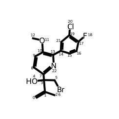 C=C(C)C(O)(CBr)c1ccc(OC)c(-c2ccc(F)c(Cl)c2)n1